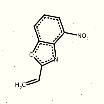 C=Cc1nc2c([N+](=O)[O-])cccc2o1